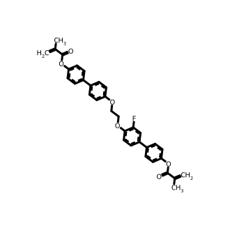 C=C(C)C(=O)Oc1ccc(-c2ccc(OCCOc3ccc(-c4ccc(OC(=O)C(=C)C)cc4)cc3F)cc2)cc1